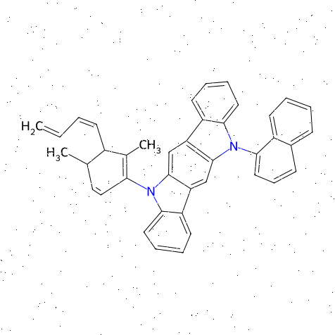 C=C/C=C\C1C(C)=C(n2c3ccccc3c3cc4c(cc32)c2ccccc2n4-c2cccc3ccccc23)C=CC1C